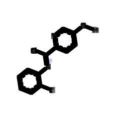 CCOc1ccc(/C(Cl)=N/c2ccccc2Cl)nc1